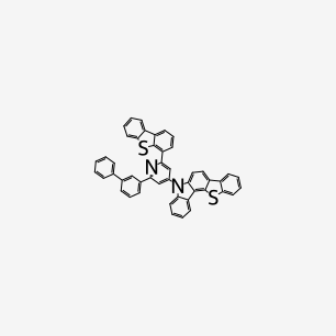 c1ccc(-c2cccc(-c3cc(-n4c5ccccc5c5c6sc7ccccc7c6ccc54)cc(-c4cccc5c4sc4ccccc45)n3)c2)cc1